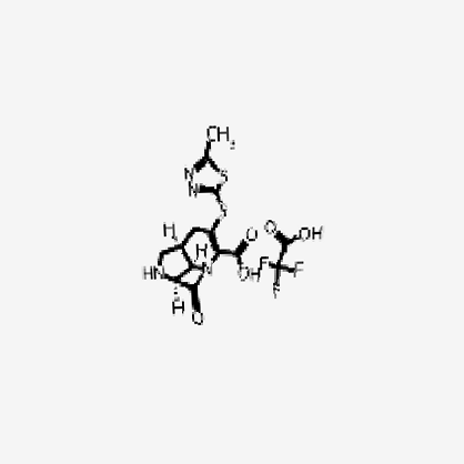 Cc1nnc(SC2=C(C(=O)O)N3C(=O)[C@H]4NC[C@@H](C2)[C@H]43)s1.O=C(O)C(F)(F)F